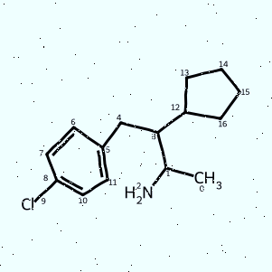 CC(N)C(Cc1ccc(Cl)cc1)C1CCCC1